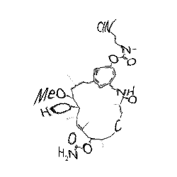 CO[C@H]1C[C@H](C)Cc2cc(cc(OC(=O)N(C)CCN(C)Cl)c2)NC(=O)/C(C)=C/CC[C@H](C)[C@@H](OC(N)=O)/C(C)=C/[C@H](C)[C@H]1O